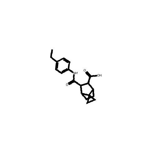 CCc1ccc(NC(=O)C2C(C(=O)O)C3CCC2C32CC2)cc1